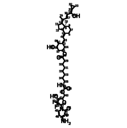 C=C1/C(=C\C=C2/CCC[C@@]3(C)C2CCC3[C@@H](C)/C=C/C(O)C2CC2)C[C@@H](OC(=O)CCCCCCCNC(=O)OCC2OC(n3ccc(N)nc3=O)C(F)(F)C2O)C[C@@H]1O